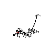 CC(C)(C)OC(=O)CCCCCCCCCCCCCCCCCCC(=O)N[C@@H](CCC(=O)NCCCC[C@H](NC(=O)OC(C)(C)C)C(=O)NCCCC[C@H](NC(=O)OCc1ccccc1)C(=O)OC(c1ccccc1)(c1ccccc1)c1ccccc1Cl)C(=O)OC(C)(C)C